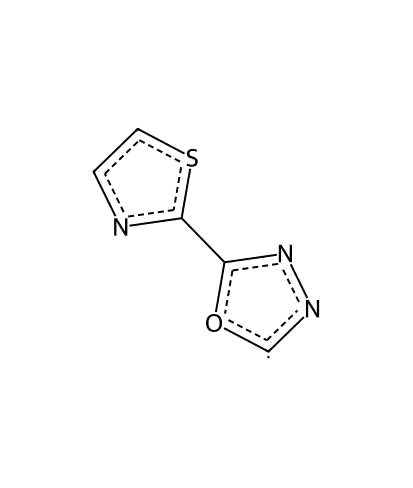 [c]1nnc(-c2nccs2)o1